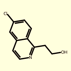 OCCc1nccc2cc(Cl)ccc12